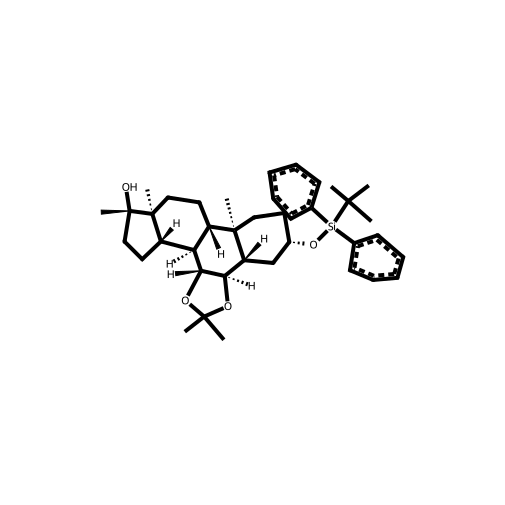 CC1(C)O[C@H]2[C@H](O1)[C@H]1C[C@@H](O[Si](c3ccccc3)(c3ccccc3)C(C)(C)C)CC[C@]1(C)[C@H]1CC[C@@]3(C)[C@@H](CC[C@]3(C)O)[C@H]21